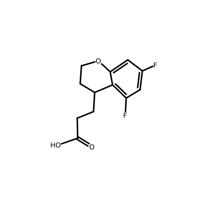 O=C(O)CCC1CCOc2cc(F)cc(F)c21